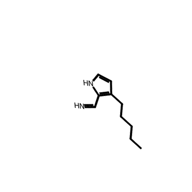 CCCCCc1cc[nH]c1C=N